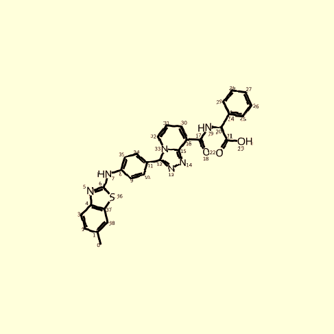 Cc1ccc2nc(Nc3ccc(-c4nnc5c(C(=O)N[C@H](C(=O)O)c6ccccc6)cccn45)cc3)sc2c1